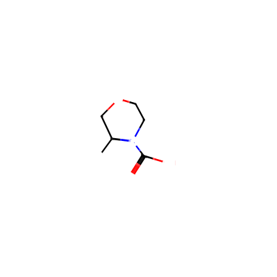 CC1COCCN1C(=O)O.Cl